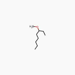 BOC(CC)CCCCC